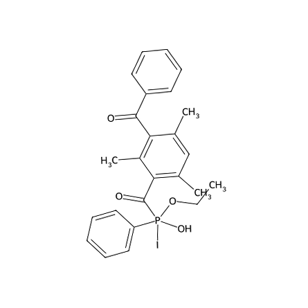 CCOP(O)(I)(C(=O)c1c(C)cc(C)c(C(=O)c2ccccc2)c1C)c1ccccc1